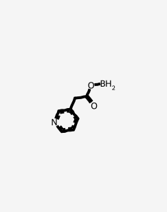 BOC(=O)Cc1cccnc1